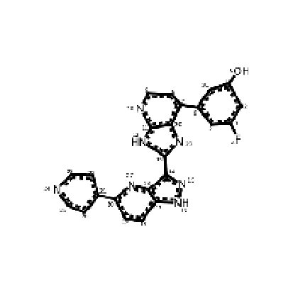 Oc1cc(F)cc(-c2ccnc3[nH]c(-c4n[nH]c5ccc(-c6ccncc6)nc45)nc23)c1